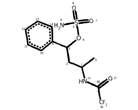 CC(CC(OS(N)(=O)=O)c1ccccc1)NC(=O)C(F)(F)F